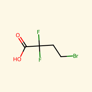 O=C(O)C(F)(F)CCBr